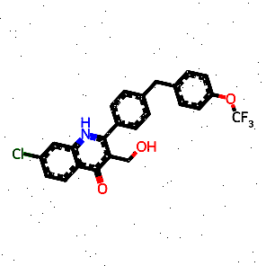 O=c1c(CO)c(-c2ccc(Cc3ccc(OC(F)(F)F)cc3)cc2)[nH]c2cc(Cl)ccc12